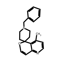 Cc1ccnc2c1C1(CCN(Cc3ccccc3)CC1)OC=C2